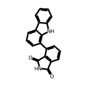 O=C1NC(=O)c2c1cccc2-c1cccc2c1[nH]c1ccccc12